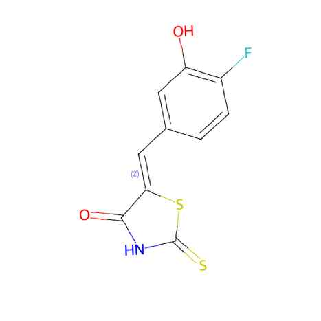 O=C1NC(=S)S/C1=C\c1ccc(F)c(O)c1